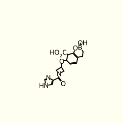 O=C(O)C1C2=C(C=CC1OC1CN(C(=O)c3c[nH]cn3)C1)CCB(O)O2